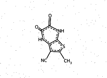 Cc1sc2[nH]c(=O)c(=O)[nH]c2c1C#N